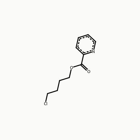 O=C(OCCCCCl)c1ccccn1